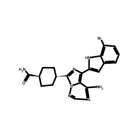 Nc1ncnn2c1c(-c1cc3cccc(Br)c3[nH]1)nc2[C@H]1CC[C@H](C(N)=O)CC1